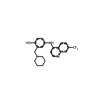 Oc1ccc(Nc2ccnc3cc(C(F)(F)F)ccc23)cc1CN1CCCCC1